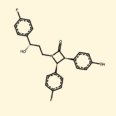 O=C1[C@@H](c2ccc(O)cc2)[C@@H](c2ccc(F)cc2)N1CC[C@H](O)c1ccc(F)cc1